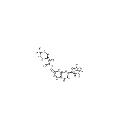 CC1(C)CCC(NC(=O)COc2ccc3ccc(B4OC(C)(C)C(C)(C)O4)cc3c2)CC1